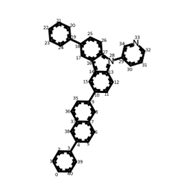 c1ccc(-c2ccc3cc(-c4ccc5c(c4)c4cc(-c6ccccc6)ccc4n5-c4cccnc4)ccc3c2)cc1